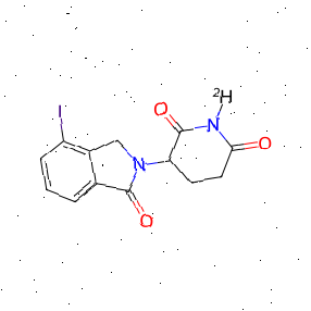 [2H]N1C(=O)CCC(N2Cc3c(I)cccc3C2=O)C1=O